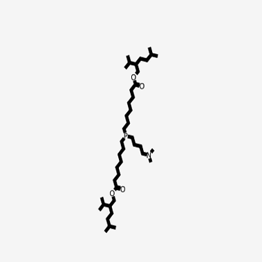 CC(C)CCC(COC(=O)CCCCCCCP(CCCCCCCC(=O)OCC(CCC(C)C)C(C)C)CCCCN(C)C)C(C)C